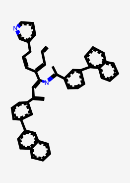 C=C/C=C(\C=C/Cc1cccnc1)C(=C/C(=C)c1cccc(-c2ccc3ccccc3c2)c1)/N=C(\C)c1cccc(-c2cccc3ccccc23)c1